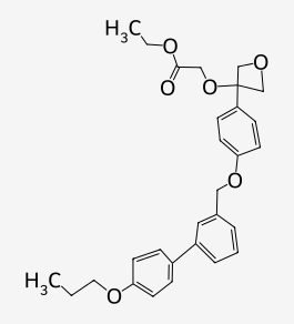 CCCOc1ccc(-c2cccc(COc3ccc(C4(OCC(=O)OCC)COC4)cc3)c2)cc1